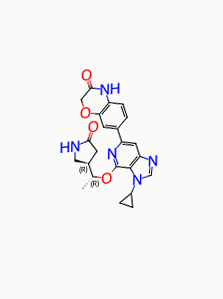 C[C@@H](Oc1nc(-c2ccc3c(c2)OCC(=O)N3)cc2ncn(C3CC3)c12)[C@H]1CNC(=O)C1